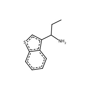 CCC(N)c1csc2ccccc12